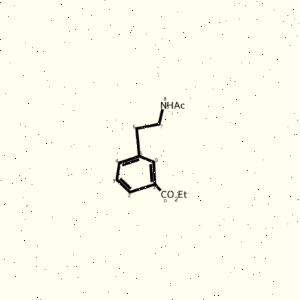 CCOC(=O)c1cccc(CCNC(C)=O)c1